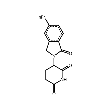 CCCc1ccc2c(c1)CN(C1CCC(=O)NC1=O)C2=O